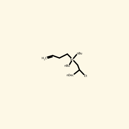 C=CC[CH2][Sn]([CH2]CCC)([CH2]CCC)[CH2]C(CC)CCCCCCCCCC